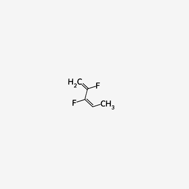 C=C(F)/C(F)=C\C